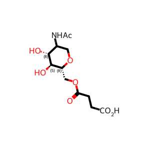 CC(=O)NC1CO[C@H](COC(=O)CCC(=O)O)[C@@H](O)[C@@H]1O